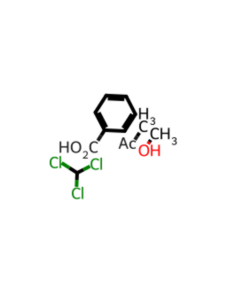 CC(C)=O.CO.ClC(Cl)Cl.O=C(O)c1ccccc1